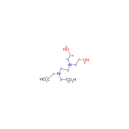 O=C(O)CN(CCN(CCO)CCO)CC(=O)O